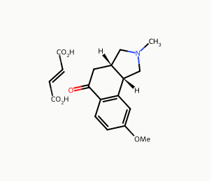 COc1ccc2c(c1)[C@H]1CN(C)C[C@H]1CC2=O.O=C(O)/C=C/C(=O)O